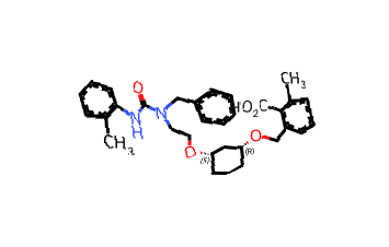 Cc1ccccc1NC(=O)N(CCO[C@H]1CCC[C@@H](OCc2cccc(C)c2C(=O)O)C1)Cc1ccccc1